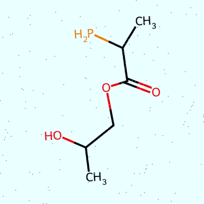 CC(O)COC(=O)C(C)P